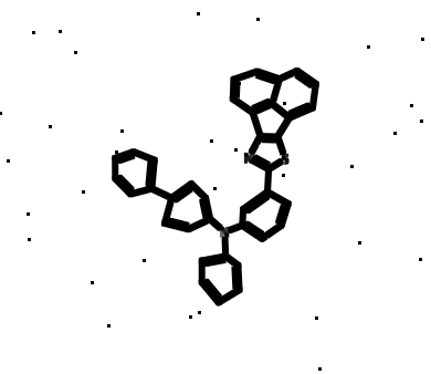 c1ccc(-c2ccc(N(c3ccccc3)c3cccc(-c4nc5c(s4)-c4cccc6cccc-5c46)c3)cc2)cc1